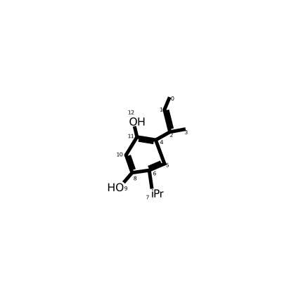 C/C=C(\C)c1cc(C(C)C)c(O)cc1O